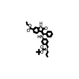 CCCN(Cc1ccc(NC(=C2C(=O)Nc3cc(C(=O)OCC)ccc32)c2ccccc2)cc1)C(=O)OC(C)(C)C